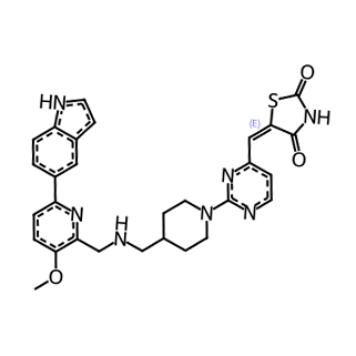 COc1ccc(-c2ccc3[nH]ccc3c2)nc1CNCC1CCN(c2nccc(/C=C3/SC(=O)NC3=O)n2)CC1